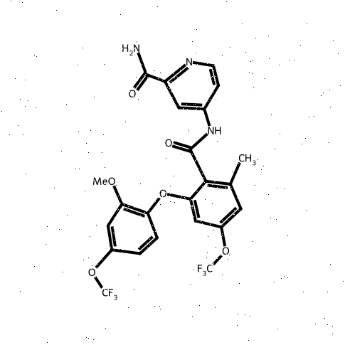 COc1cc(OC(F)(F)F)ccc1Oc1cc(OC(F)(F)F)cc(C)c1C(=O)Nc1ccnc(C(N)=O)c1